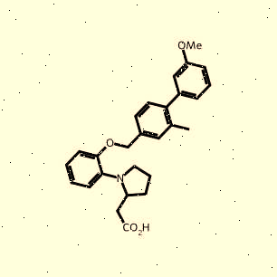 COc1cccc(-c2ccc(COc3ccccc3N3CCCC3CC(=O)O)cc2C)c1